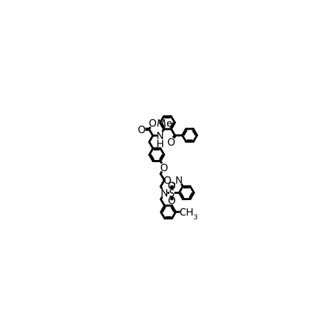 COC(=O)C(Cc1ccc(OCCCN(Cc2cccc(C)c2)S(=O)(=O)c2ccccc2[N+](=O)[O-])cc1)Nc1ccccc1C(=O)c1ccccc1